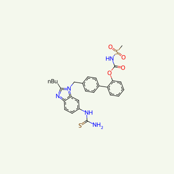 CCCCc1nc2ccc(NC(N)=S)cc2n1Cc1ccc(-c2ccccc2OC(=O)NS(C)(=O)=O)cc1